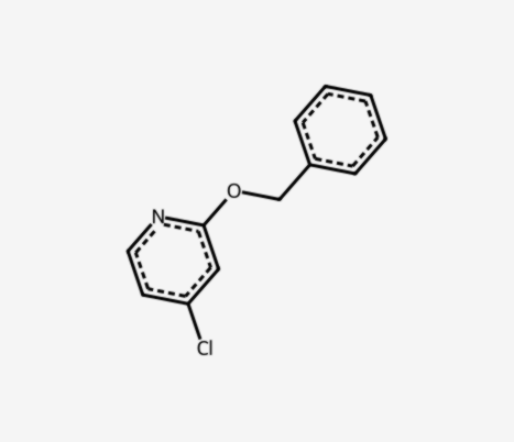 Clc1ccnc(OCc2ccccc2)c1